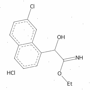 CCOC(=N)C(O)c1cccc2ccc(Cl)cc12.Cl